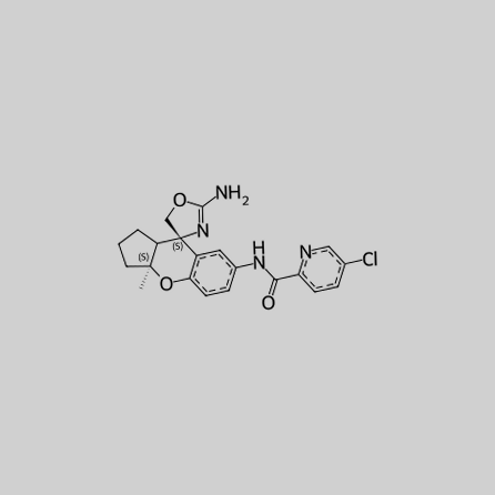 C[C@]12CCCC1[C@@]1(COC(N)=N1)c1cc(NC(=O)c3ccc(Cl)cn3)ccc1O2